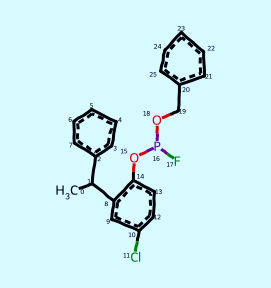 CC(c1ccccc1)c1cc(Cl)ccc1OP(F)OCc1ccccc1